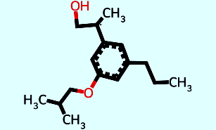 CCCc1cc(OCC(C)C)cc([C](C)CO)c1